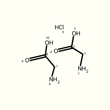 Cl.NCC(=O)O.NCC(=O)O